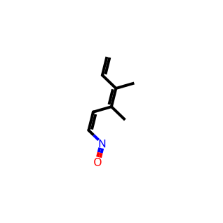 C=C/C(C)=C(C)\C=C/N=O